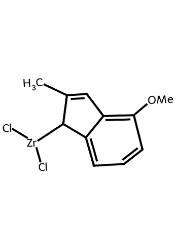 COc1cccc2c1C=C(C)[CH]2[Zr]([Cl])[Cl]